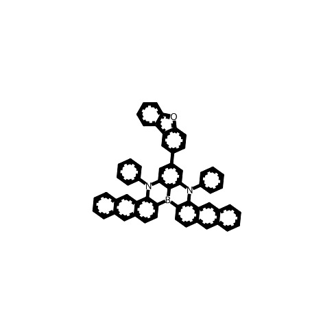 c1ccc(N2c3cc(-c4ccc5oc6ccccc6c5c4)cc4c3B(c3ccc5cc6ccccc6cc5c32)c2ccc3cc5ccccc5cc3c2N4c2ccccc2)cc1